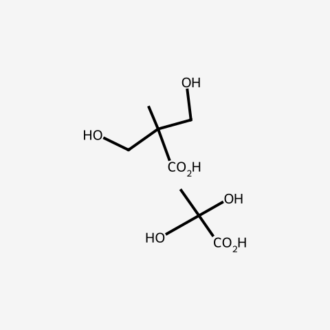 CC(CO)(CO)C(=O)O.CC(O)(O)C(=O)O